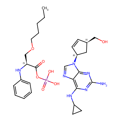 CCCCCOC[C@H](Nc1ccccc1)C(=O)OP(=O)(O)O.Nc1nc(NC2CC2)c2ncn([C@H]3C=C[C@@H](CO)C3)c2n1